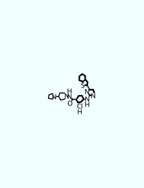 Cl.O=C(NN1CCC(N2CCCC2)CC1)c1ccc(Nc2nccc(-c3cc4ccccc4s3)n2)cc1